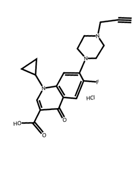 C#CCN1CCN(c2cc3c(cc2F)c(=O)c(C(=O)O)cn3C2CC2)CC1.Cl